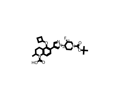 CC1CCc2c(ccc(-c3cnn([C@@H]4CCN(C(=O)OC(C)(C)C)C[C@@H]4F)c3)c2OC2CCC2)N1C(=O)O